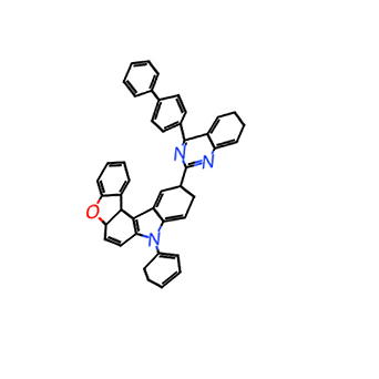 C1=CCCC(n2c3c(c4c2=CCC(c2nc(-c5ccc(-c6ccccc6)cc5)c5c(n2)=CCCC=5)C=4)C2c4ccccc4OC2C=C3)=C1